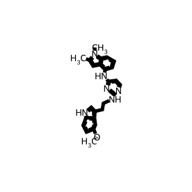 COc1ccc2[nH]cc(CCNc3nccc(Nc4cccc5c4cc(C)n5C)n3)c2c1